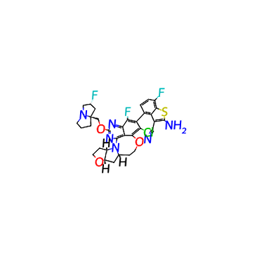 N#Cc1c(N)sc2c(F)ccc(-c3c(Cl)c4c5c(nc(OC[C@@]67CCCN6C[C@H](F)C7)nc5c3F)N3[C@H](CCO4)C[C@@H]4OCC[C@@H]43)c12